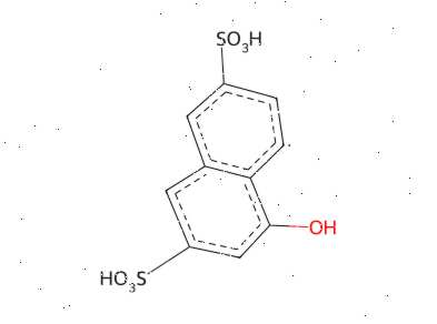 O=S(=O)(O)c1c[c]c2c(O)cc(S(=O)(=O)O)cc2c1